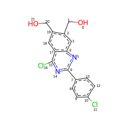 OCc1cc2nc(-c3ccc(Cl)cc3)nc(Cl)c2cc1CO